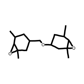 CC1CC(COC2CC(C)C3OC3(C)C2)CC2(C)OC12